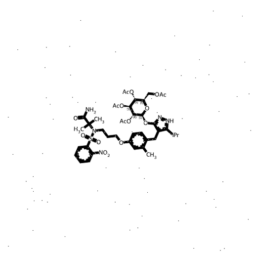 CC(=O)OC[C@H]1O[C@@H](Oc2n[nH]c(C(C)C)c2Cc2ccc(OCCCN(C(C)(C)C(N)=O)S(=O)(=O)c3ccccc3[N+](=O)[O-])cc2C)[C@H](OC(C)=O)[C@@H](OC(C)=O)[C@@H]1OC(C)=O